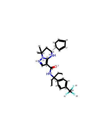 CCC(CC)(NC(=O)c1cnn2c1N[C@@H](C1C=CC=CC1)CC2(C)C)c1ccc(C(F)(F)F)cc1